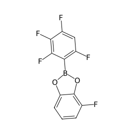 Fc1cc(F)c(B2Oc3cccc(F)c3O2)c(F)c1F